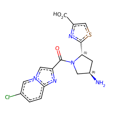 N[C@@H]1C[C@@H](c2nc(C(=O)O)cs2)N(C(=O)c2cn3cc(Cl)ccc3n2)C1